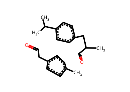 CC(C=O)Cc1ccc(C(C)C)cc1.Cc1ccc(CC=O)cc1